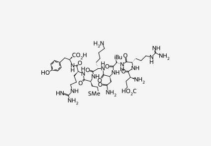 CC[C@H](C)[C@H](NC(=O)[C@H](CCCNC(=N)N)NC(=O)[C@@H](N)CCC(=O)O)C(=O)N[C@@H](CC(N)=O)C(=O)N[C@@H](CCCCN)C(=O)N[C@@H](CCSC)C(=O)N[C@@H](CCCNC(=N)N)C(=O)N[C@@H](Cc1ccc(O)cc1)C(=O)O